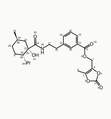 Cc1oc(=O)oc1COC(=O)c1cccc(CCNC(=O)[C@]2(O)C[C@H](C)CC[C@H]2C(C)C)c1